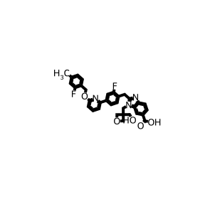 Cc1ccc(COc2cccc(-c3ccc(Cc4nc5ccc(C(=O)O)cc5n4CC4(CO)COC4)c(F)c3)n2)c(F)c1